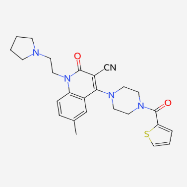 Cc1ccc2c(c1)c(N1CCN(C(=O)c3cccs3)CC1)c(C#N)c(=O)n2CCN1CCCC1